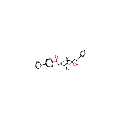 O=C(CN1C[C@@H]2CC(O)(CCc3ccccc3)C[C@@H]2C1)c1ccc(-c2ccccc2)cc1